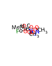 CNC(=O)c1c(-c2ccc(F)cc2)oc2cc3c(cc12)[C@H](C)O[C@H](COC(=O)[C@H](C)N)CN3S(C)(=O)=O